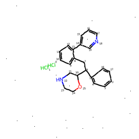 Cl.Cl.c1ccc(C(Cc2ccccc2-c2cccnc2)C2CNCCO2)cc1